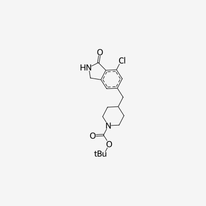 CC(C)(C)OC(=O)N1CCC(Cc2cc(Cl)c3c(c2)CNC3=O)CC1